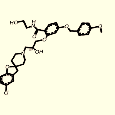 COc1ccc(COc2ccc(C(=O)NCCO)c(OC[C@@H](O)CN3CCC4(CC3)Cc3cc(Cl)ccc3O4)c2)cc1